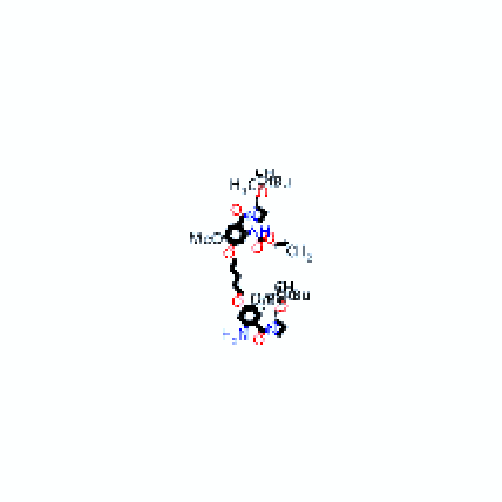 C=CCOC(=O)Nc1cc(OCCCCCOc2cc(N)c(C(=O)N3CC[C@H]3CO[Si](C)(C)C(C)(C)C)cc2OC)c(OC)cc1C(=O)N1CC[C@H]1CO[Si](C)(C)C(C)(C)C